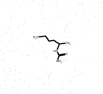 CCCCC(C)NC(N)=O